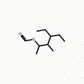 CCC(CC)C(C)C(C)O[C]=O